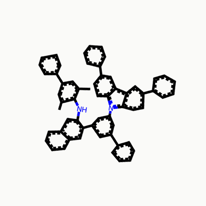 Cc1cc(-c2ccccc2)cc(C)c1Nc1cc2ccccc2cc1-c1cc(-c2ccccc2)cc(-n2c3ccc(-c4ccccc4)cc3c3cc(-c4ccccc4)ccc32)c1